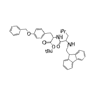 CC(C)CC(NCC1c2ccccc2-c2ccccc21)C(=O)NC(Cc1ccc(OCc2ccccc2)cc1)C(=O)OC(C)(C)C